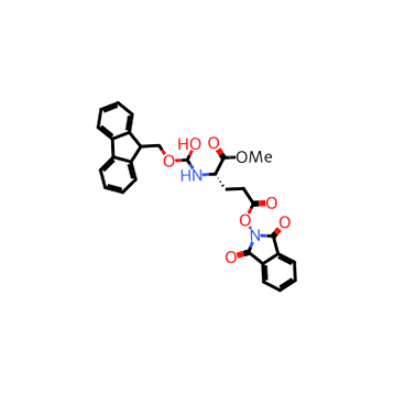 COC(=O)[C@H](CCC(=O)ON1C(=O)c2ccccc2C1=O)NC(O)OCC1c2ccccc2-c2ccccc21